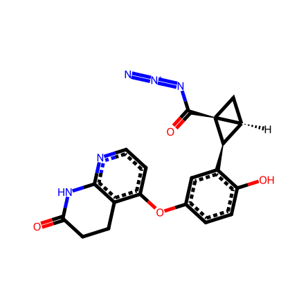 [N-]=[N+]=NC(=O)[C@@]12C[C@H]1[C@H]2c1cc(Oc2ccnc3c2CCC(=O)N3)ccc1O